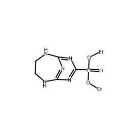 CCOP(=O)(OCC)c1nc2nc(n1)NCCN2